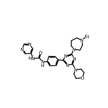 CCN1CCCN(c2nc(-c3ccc(NC(=O)Nc4cncnc4)cc3)nc(N3CCOCC3)n2)CC1